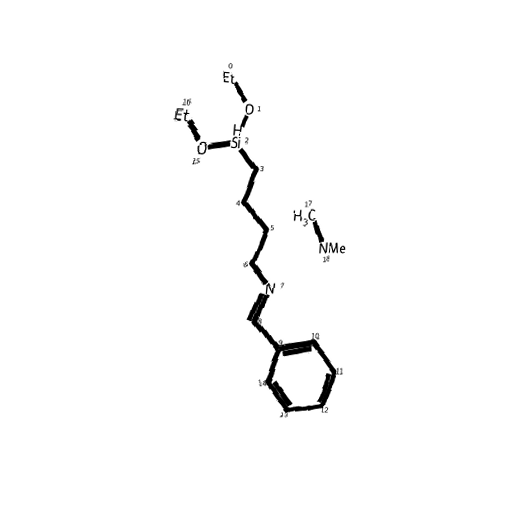 CCO[SiH](CCCCN=Cc1ccccc1)OCC.CNC